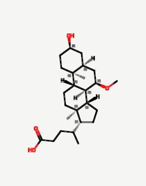 CO[C@@H]1C[C@@H]2C[C@H](O)CC[C@]2(C)[C@H]2CC[C@]3(C)[C@@H](C(C)CCC(=O)O)CC[C@H]3[C@H]12